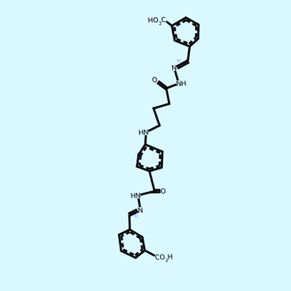 O=C(CCCNc1ccc(C(=O)N/N=C/c2cccc(C(=O)O)c2)cc1)N/N=C/c1cccc(C(=O)O)c1